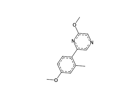 COc1ccc(-c2cncc(OC)n2)c(C)c1